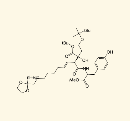 CCCCCCCC1(CCCCCC/C=C/[C@H](C(=O)N[C@@H](Cc2ccc(O)cc2)C(=O)OC)C(O)(CCO[Si](C)(C)C(C)(C)C)C(=O)OC(C)(C)C)OCCO1